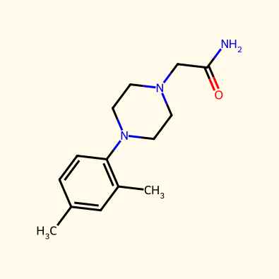 Cc1ccc(N2CCN(CC(N)=O)CC2)c(C)c1